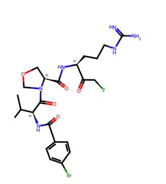 CC(C)[C@H](NC(=O)c1ccc(Br)cc1)C(=O)N1COC[C@H]1C(=O)N[C@@H](CCCNC(=N)N)C(=O)CF